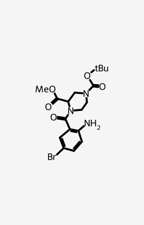 COC(=O)C1CN(C(=O)OC(C)(C)C)CCN1C(=O)c1cc(Br)ccc1N